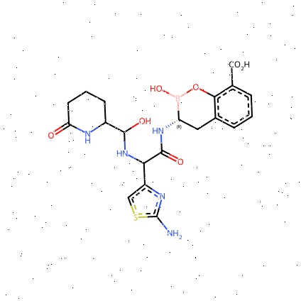 Nc1nc(C(NC(O)C2CCCC(=O)N2)C(=O)N[C@H]2Cc3cccc(C(=O)O)c3OB2O)cs1